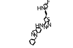 F[C@@H]1CN[C@H](C#Cc2cc3c(Nc4ccc5c(cnn5Cc5ccccc5)c4)ncnc3s2)C1